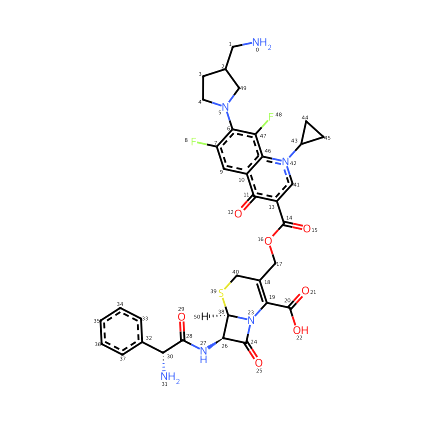 NCC1CCN(c2c(F)cc3c(=O)c(C(=O)OCC4=C(C(=O)O)N5C(=O)[C@@H](NC(=O)[C@H](N)c6ccccc6)[C@H]5SC4)cn(C4CC4)c3c2F)C1